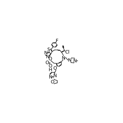 C#C/C(Cl)=C1\C=C/Cc2c(-c3ccc(F)cc3)sc3ncnc(c23)O[C@@H](C(=O)O)Cc2cc(ccc2OCc2ccnc([C@@H]3CCCO3)n2)CN(CCN2CCN(C)CC2)C1